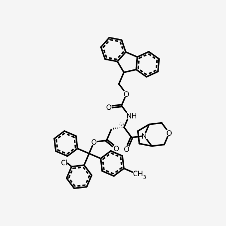 Cc1ccc(C(OC(=O)C[C@H](NC(=O)OCC2c3ccccc3-c3ccccc32)C(=O)N2C3CCC2COC3)(c2ccccc2)c2ccccc2Cl)cc1